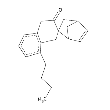 CCCCc1cccc2c1CC1(CC3C=CC1C3)C(=O)C2